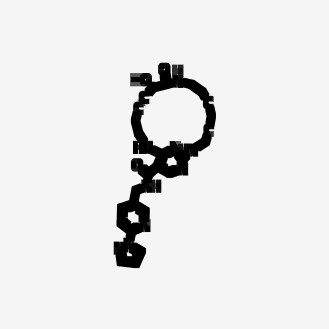 O=C(NCc1ccc(-n2cccn2)nc1)c1cnc2nc1NCCCCC(O)C(=O)NCCCCCCN2